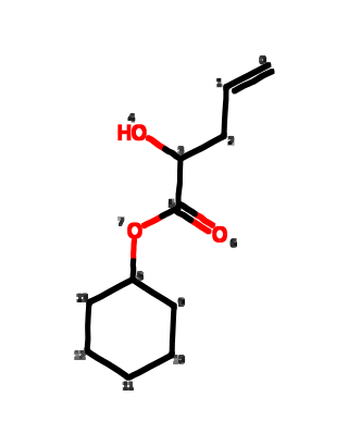 C=CCC(O)C(=O)OC1CCCCC1